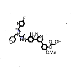 COc1ccc(-c2cnc(N)c(-c3ccc(N/C(C)=C/N(/C=C(\C)c4ccc(F)cn4)CC4CCOCC4)cc3)c2)cc1OC(=O)CO